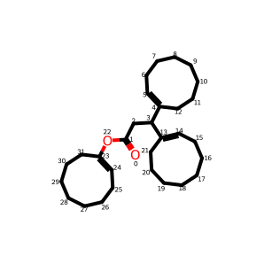 O=C(CC(C1=CCCCCCCC1)C1=CCCCCCCC1)OC1=CCCCCCCC1